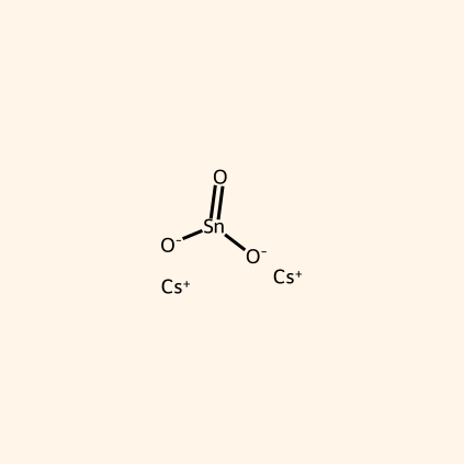 [Cs+].[Cs+].[O]=[Sn]([O-])[O-]